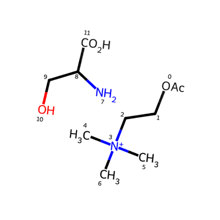 CC(=O)OCC[N+](C)(C)C.NC(CO)C(=O)O